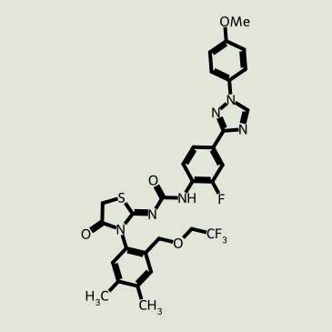 COc1ccc(-n2cnc(-c3ccc(NC(=O)/N=C4\SCC(=O)N4c4cc(C)c(C)cc4COCC(F)(F)F)c(F)c3)n2)cc1